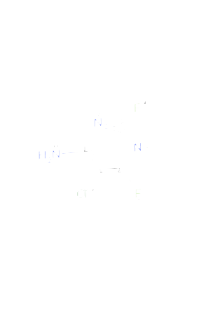 Nc1nc(F)nc(F)c1Cl